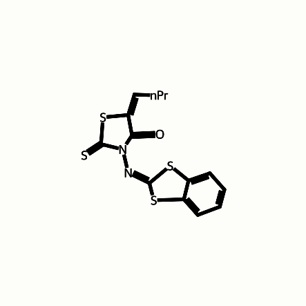 CCCC=C1SC(=S)N(N=c2sc3ccccc3s2)C1=O